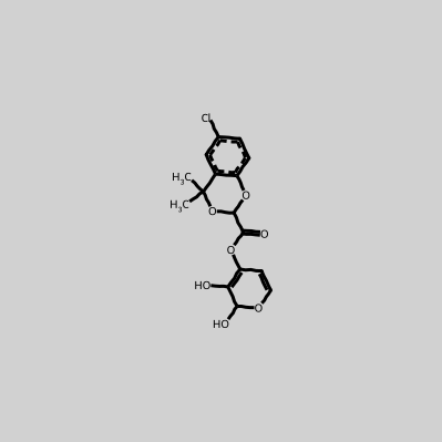 CC1(C)OC(C(=O)OC2=C(O)C(O)OC=C2)Oc2ccc(Cl)cc21